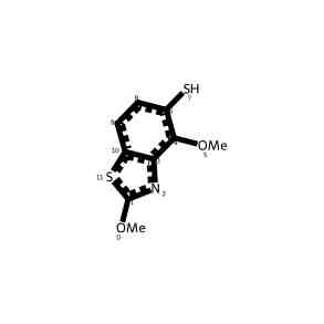 COc1nc2c(OC)c(S)ccc2s1